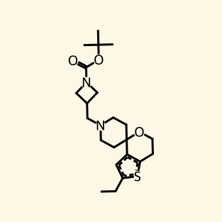 CCc1cc2c(s1)CCOC21CCN(CC2CN(C(=O)OC(C)(C)C)C2)CC1